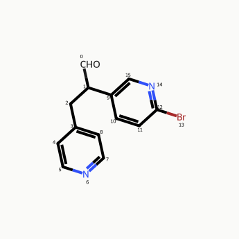 O=CC(Cc1ccncc1)c1ccc(Br)nc1